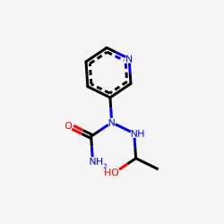 CC(O)NN(C(N)=O)c1cccnc1